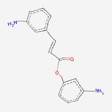 Nc1cccc(/C=C/C(=O)Oc2cccc(N)c2)c1